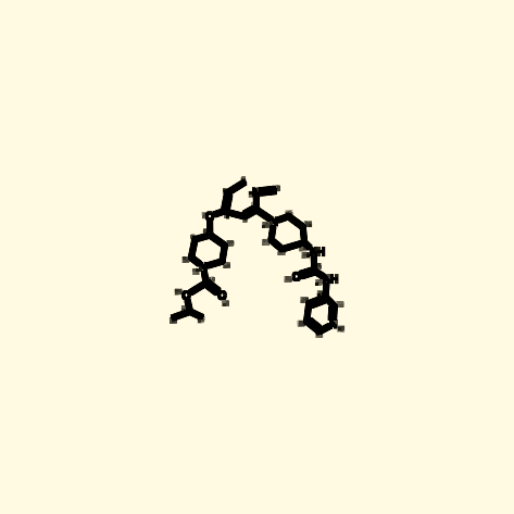 C=N/C(=C\C(=C/C)OC1CCN(C(=O)OC(C)C)CC1)N1CCC(NC(=O)Nc2cccnc2)CC1